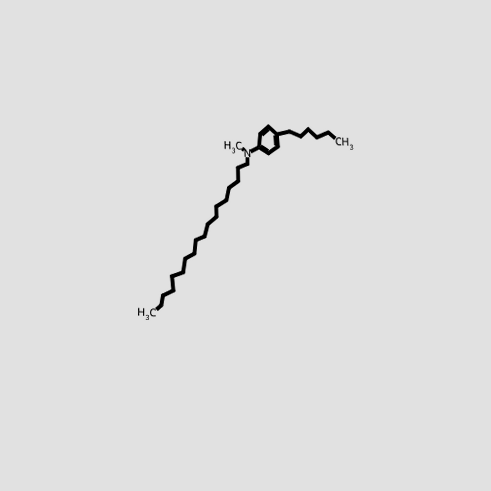 CCCCCCCCCCCCCCCCCCN(C)c1ccc(CCCCCC)cc1